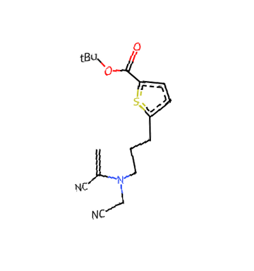 C=C(C#N)N(CC#N)CCCc1ccc(C(=O)OC(C)(C)C)s1